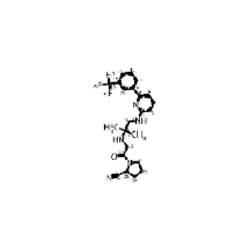 CC(C)(CNc1cccc(-c2cccc(C(F)(F)F)c2)n1)NCC(=O)N1CCCC1C#N